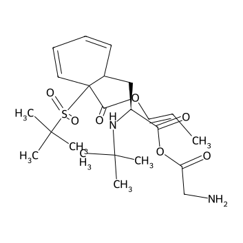 CC=COC(=O)C1(S(=O)(=O)C(C)(C)C)C=CC=CC1C[C@H](NC(C)(C)C)C(=O)OC(=O)CN